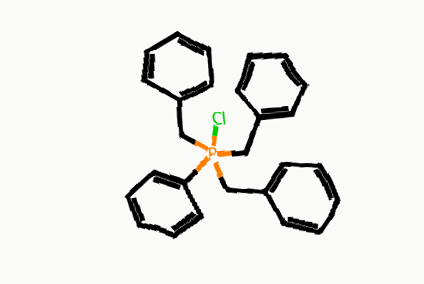 ClP(Cc1ccccc1)(Cc1ccccc1)(Cc1ccccc1)c1ccccc1